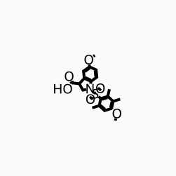 COc1ccc2c(c1)C(C(=O)O)CN2S(=O)(=O)c1c(C)cc(OC)c(C)c1C